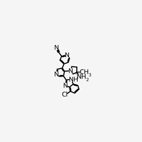 C[C@]1(N)CCN(c2c(-c3ccnc(C#N)c3)cncc2-c2nc3c(Cl)cccc3[nH]2)C1